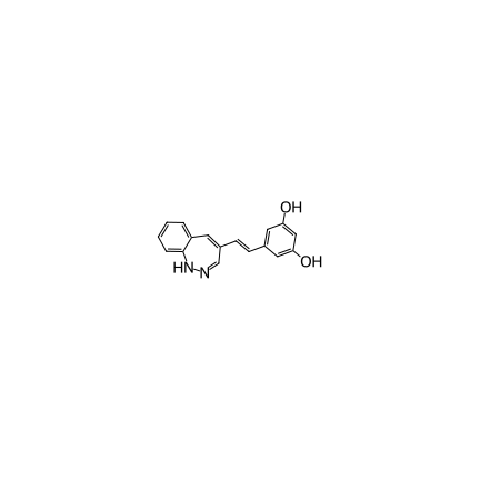 Oc1cc(O)cc(/C=C/C2=Cc3ccccc3NN=C2)c1